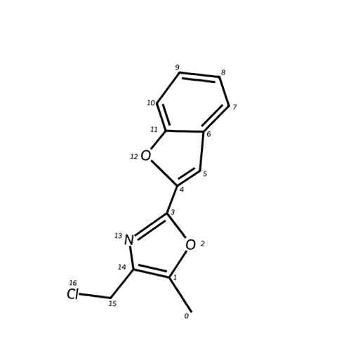 Cc1oc(-c2cc3ccccc3o2)nc1CCl